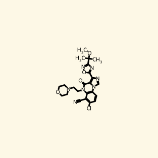 COC(C)(C)c1noc(-c2ncn3c2c(=O)n(CCN2CCOCC2)c2c(C#N)c(Cl)ccc23)n1